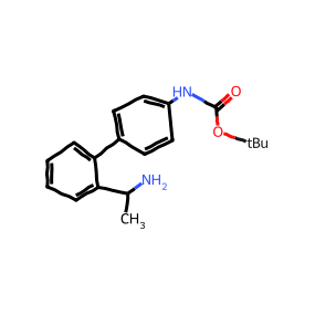 CC(N)c1ccccc1-c1ccc(NC(=O)OC(C)(C)C)cc1